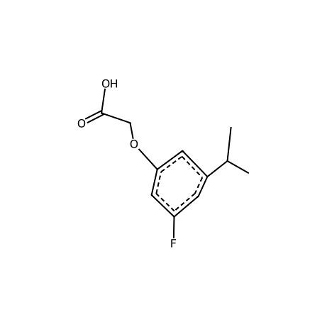 CC(C)c1cc(F)cc(OCC(=O)O)c1